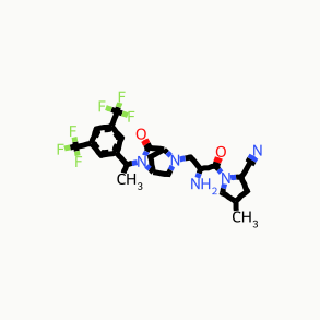 CC1CC(C#N)N(C(=O)C(N)CN2CC3CC2C(=O)N3C(C)c2cc(C(F)(F)F)cc(C(F)(F)F)c2)C1